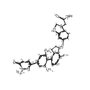 COC(=O)C[C@@H]1COc2cc(O[C@@H]3CCc4c(-c5c(C)cc(-c6ccc(=O)n(C)n6)cc5C)ccc(F)c43)ccc21